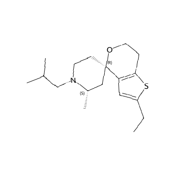 CCc1cc2c(s1)CCO[C@@]21CCN(CC(C)C)[C@@H](C)C1